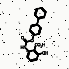 O=C(Nc1cccc(O)c1C(=O)O)Oc1ccc(-c2ccccc2)cc1